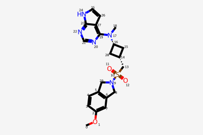 COc1ccc2c(c1)CN(S(=O)(=O)C[C@H]1C[C@@H](N(C)c3ncnc4[nH]ccc34)C1)C2